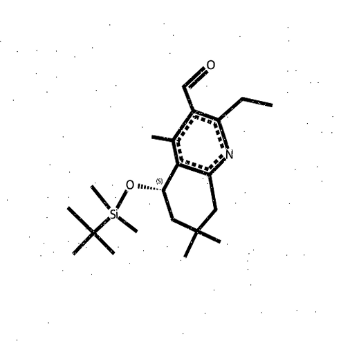 CCc1nc2c(c(C)c1C=O)[C@@H](O[Si](C)(C)C(C)(C)C)CC(C)(C)C2